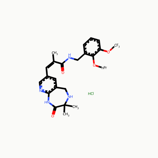 CCCOc1c(CNC(=O)C(C)=Cc2cnc3c(c2)CNC(C)(C)C(=O)N3)cccc1OC(F)(F)F.Cl